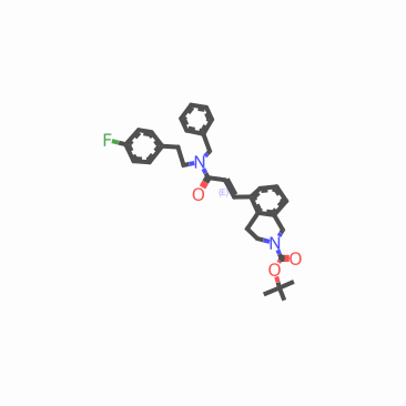 CC(C)(C)OC(=O)N1CCc2c(/C=C/C(=O)N(CCc3ccc(F)cc3)Cc3ccccc3)cccc2C1